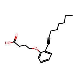 CCCCCCC#Cc1ccccc1OCCCC(=O)O